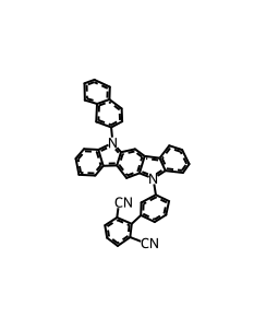 N#Cc1cccc(C#N)c1-c1cccc(-n2c3ccccc3c3cc4c(cc32)c2ccccc2n4-c2ccc3ccccc3c2)c1